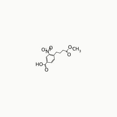 COC(=O)CCCc1ccc(C(=O)O)cc1[N+](=O)[O-]